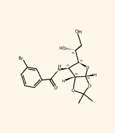 CC1(C)O[C@H]2O[C@H]([C@H](O)CO)[C@H](NC(=O)c3cccc(Br)c3)[C@H]2O1